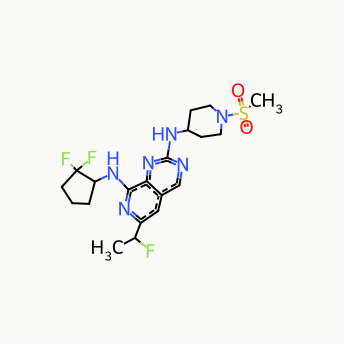 CC(F)c1cc2cnc(NC3CCN(S(C)(=O)=O)CC3)nc2c(NC2CCCC2(F)F)n1